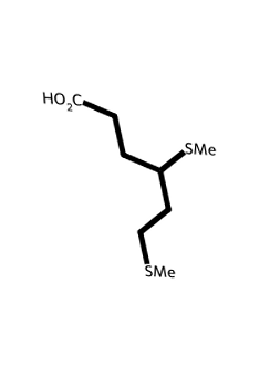 CSCCC(CCC(=O)O)SC